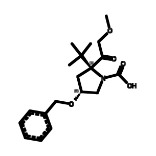 COCC(=O)[C@@]1(C(C)(C)C)C[C@@H](OCc2ccccc2)CN1C(=O)O